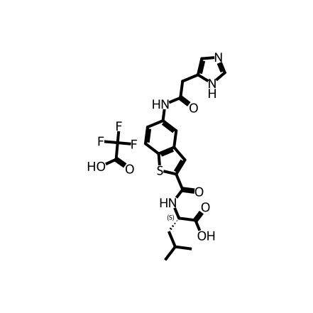 CC(C)C[C@H](NC(=O)c1cc2cc(NC(=O)Cc3cnc[nH]3)ccc2s1)C(=O)O.O=C(O)C(F)(F)F